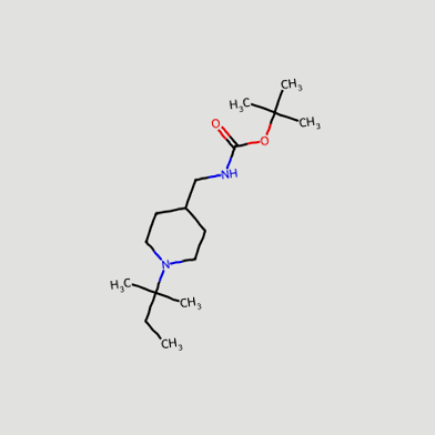 CCC(C)(C)N1CCC(CNC(=O)OC(C)(C)C)CC1